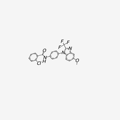 COc1ccc2c(c1)nc(C(F)(F)F)n2-c1ccc(NC(=O)c2ccccc2Cl)cc1